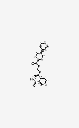 O=C(CCCc1n[nH]c(=O)c2ccccc12)N1CCN(c2cnccn2)CC1